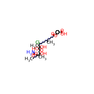 CC/C=C/[C@@H](OC(N)=O)[C@@H](C)[C@H](O)CC(=O)[C@@H](O)[C@H](O)[C@H](C)/C(Cl)=C/C=C/C=C(C)/C=C/C=C/C(=O)O[C@H]1CCC[C@H](C(=O)O)C1